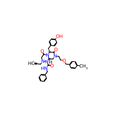 C#CCN1CC(=O)N2[C@@H](Cc3ccc(O)cc3)C(=O)N(CCOCc3ccc(C)cc3)C[C@@H]2N1C(=O)NCc1ccccc1